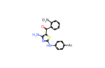 CC(=O)c1ccc(Nc2nc(N)c(C(=O)c3ccccc3[N+](=O)[O-])s2)cc1